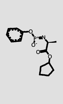 C[C@H](N=[P+]([O-])Oc1ccccc1)C(=O)OC1CCCC1